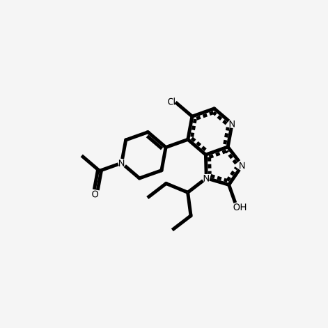 CCC(CC)n1c(O)nc2ncc(Cl)c(C3=CCN(C(C)=O)CC3)c21